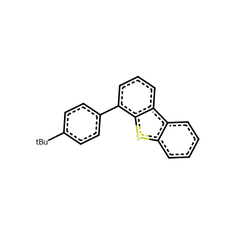 CC(C)(C)c1ccc(-c2cccc3c2sc2ccccc23)cc1